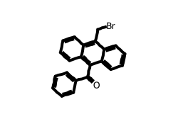 O=C(c1ccccc1)c1c2ccccc2c(CBr)c2ccccc12